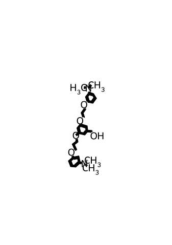 CN(C)c1cccc(OCCCOc2cc(CO)cc(OCCCOc3cccc(N(C)C)c3)c2)c1